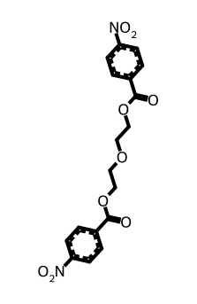 O=C(OCCOCCOC(=O)c1ccc([N+](=O)[O-])cc1)c1ccc([N+](=O)[O-])cc1